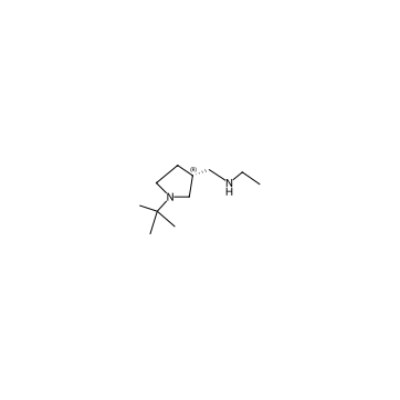 CCNC[C@H]1CCN(C(C)(C)C)C1